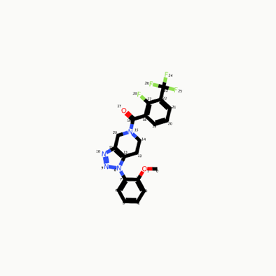 COc1ccccc1-n1nnc2c1CCN(C(=O)c1cccc(C(F)(F)F)c1F)C2